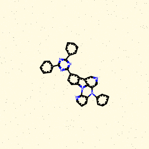 c1ccc(-c2nc(-c3ccccc3)nc(-c3ccc4c(c3)c3cncc5c3n4-c3ncccc3N5c3ccccc3)n2)cc1